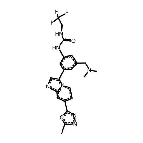 Cc1nnc(-c2ccn3c(-c4cc(CN(C)C)cc(NC(=O)NCC(F)(F)F)c4)cnc3c2)o1